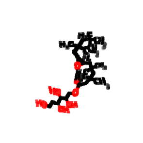 CC(C)(C)CC(C)(C)CC1OC1CC(C)(C)CC(C)(C)CC(=O)OC[C@@H](O)[C@@H](O)[C@H](O)CCO